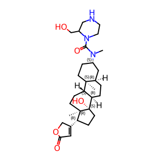 CN(C(=O)N1CCNCC1CO)[C@H]1CC[C@@]2(C)[C@H](CC[C@@H]3[C@@H]2CC[C@]2(C)[C@@H](C4=CC(=O)OC4)CC[C@]32O)C1